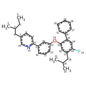 CCC(C)Cc1ccc(-c2cccc(Oc3cc(CC(C)C)c(F)cc3-c3ccccc3)c2)nc1